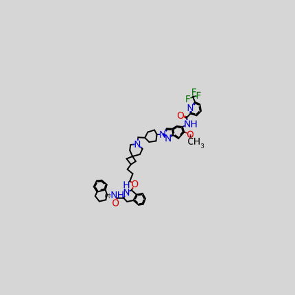 COc1cc2nn(C3CCC(CN4CCC5(CC4)CC(CCCOC4NC(C(=O)N[C@@H]6CCCc7ccccc76)Cc6ccccc64)C5)CC3)cc2cc1NC(=O)c1cccc(C(F)(F)F)n1